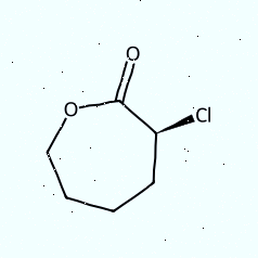 O=C1OCCCC[C@@H]1Cl